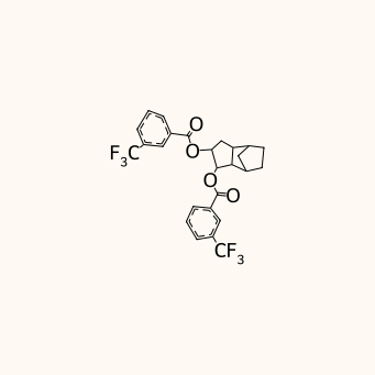 O=C(OC1CC2C3CCC(C3)C2C1OC(=O)c1cccc(C(F)(F)F)c1)c1cccc(C(F)(F)F)c1